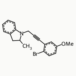 COc1ccc(Br)c(C#CCN2c3ccccc3CC2C)c1